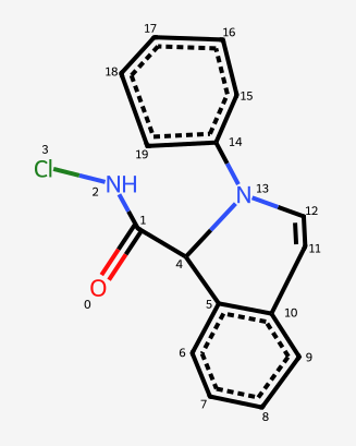 O=C(NCl)C1c2ccccc2C=CN1c1ccccc1